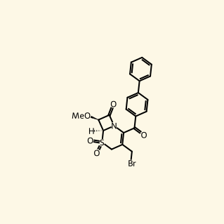 CO[C@H]1C(=O)N2C(C(=O)c3ccc(-c4ccccc4)cc3)=C(CBr)CS(=O)(=O)[C@@H]12